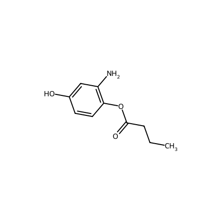 CCCC(=O)Oc1ccc(O)cc1N